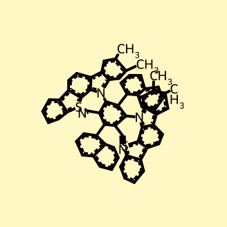 Cc1cc2c3ccc4c5ccccc5sc4c3n(-c3c(C#N)c(-c4cccc5ccccc45)c(C#N)c(-n4c5cc(C)c(C)cc5c5ccc6c7ccccc7sc6c54)c3-c3cccc4ccccc34)c2cc1C